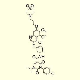 CC(C)n1cc(C(=O)NC2C=CC(Oc3ccnc4cc(OCCCN5CCS(=O)(=O)CC5)c5c(c34)OCCO5)=C(F)C2)c(=O)n(-c2ccc(F)cc2)c1=O